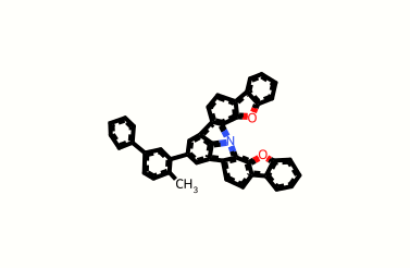 Cc1ccc(-c2ccccc2)cc1-c1cc2c3ccc4c5ccccc5oc4c3n3c2c(c1)c1ccc2c4ccccc4oc2c13